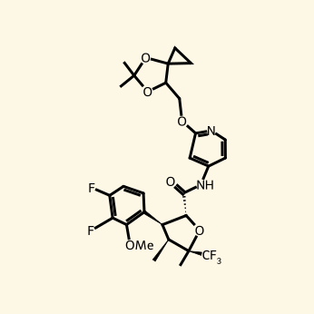 COc1c([C@H]2[C@H](C(=O)Nc3ccnc(OCC4OC(C)(C)OC45CC5)c3)O[C@@](C)(C(F)(F)F)[C@H]2C)ccc(F)c1F